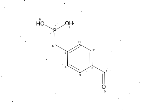 O=Cc1ccc(CP(O)O)cc1